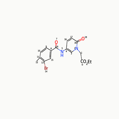 CCOC(=O)Cn1cc(NC(=O)c2ccc(C)c(Br)c2)ccc1=O